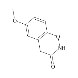 COc1ccc2c(c1)CC(=O)NO2